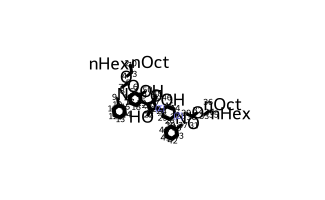 CCCCCCCCC(CCCCCC)COC(=O)CN(Cc1ccccc1)c1ccc(C2=C(O)/C(=C3C=C/C(=[N+](/CC(=O)OCC(CCCCCC)CCCCCCCC)Cc4ccccc4)C=C\3O)C2=O)c(O)c1